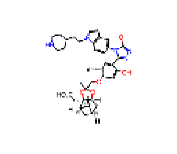 CC(C)c1cc(-c2nnc(O)n2-c2ccc3c(ccn3CCC3CCNCC3)c2)c(O)cc1OCC1(C)O[C@H]2C[C@H]3C[C@H](C3(C)C)[C@@]2(CC(=O)O)O1